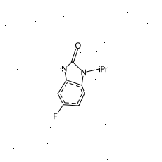 CC(C)N1C(=O)[N]c2cc(F)ccc21